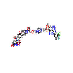 COc1cc2ncnc(Nc3ccc(F)c(Cl)c3)c2cc1OCCCN1CCN(CCOCCC(=O)N2CCC3(CC2)COc2cc4c(cc2C3)C(=O)N(C2CCC(=O)NC2=O)C4=O)CC1